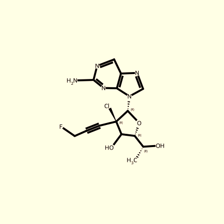 C[C@@H](O)[C@H]1O[C@@H](n2cnc3cnc(N)nc32)[C@@](Cl)(C#CCF)C1O